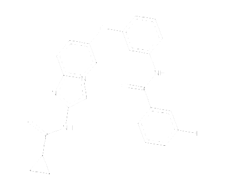 O=C(Nc1cccc(Oc2ccc3nc(NC(=O)C4CC4)cn3c2)c1)c1cccc(F)c1